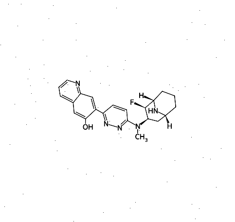 CN(c1ccc(-c2cc3ncccc3cc2O)nn1)[C@@H]1C[C@H]2CCC[C@H](N2)[C@@H]1F